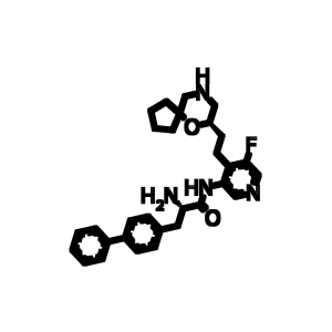 N[C@@H](Cc1ccc(-c2ccccc2)cc1)C(=O)Nc1cncc(F)c1CC[C@@H]1CNCC2(CCCC2)O1